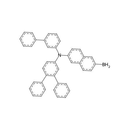 Bc1ccc2cc(N(c3cccc(-c4ccccc4)c3)c3ccc(-c4ccccc4)c(-c4ccccc4)c3)ccc2c1